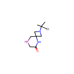 CCC(C)(C)N1CC2(CPCC(=O)N2)C1